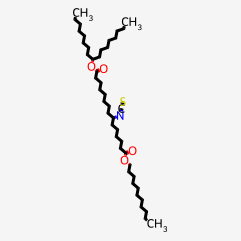 CCCCCCCCCCCOC(=O)CCCCCC(CCCCCCCC(=O)OC(CCCCCCCC)CCCCCCCC)N=C=S